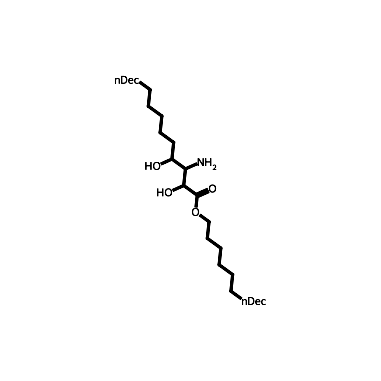 CCCCCCCCCCCCCCCCOC(=O)C(O)C(N)C(O)CCCCCCCCCCCCCCC